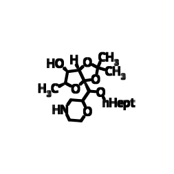 CCCCCCCOC(C1CNCCO1)[C@@]12O[C@@H](C)[C@@H](O)[C@@H]1OC(C)(C)O2